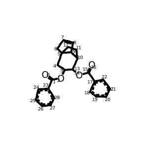 O=C(OC1CC23CC=CC2C(CC3)C1OC(=O)c1ccccc1)c1ccccc1